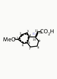 COc1ccc2c(c1)CCC/C2=C\C(=O)O